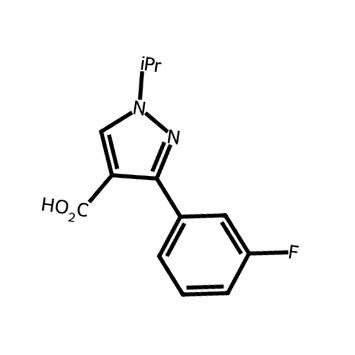 CC(C)n1cc(C(=O)O)c(-c2cccc(F)c2)n1